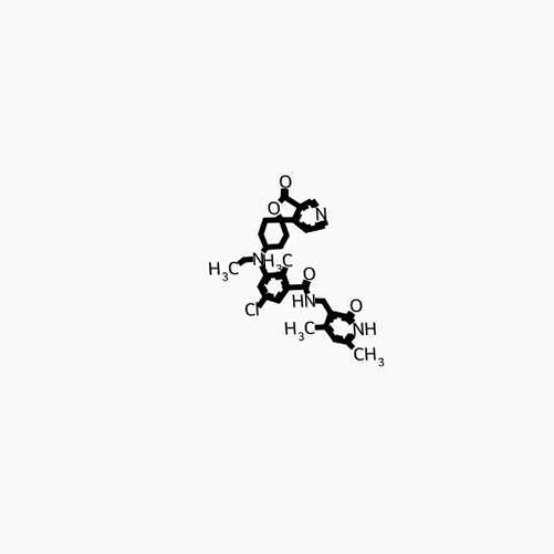 CCN(c1cc(Cl)cc(C(=O)NCc2c(C)cc(C)[nH]c2=O)c1C)C1CCC2(CC1)OC(=O)c1cnccc12